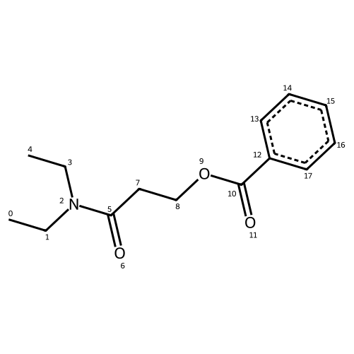 CCN(CC)C(=O)CCOC(=O)c1ccccc1